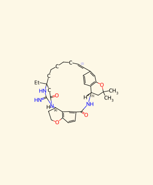 CCC12CCCCC/C=C\c3ccc4c(c3)OC(C)(C)C[C@@H]4NC(=O)c3ccc4c(c3)[C@@H](CCO4)N(C(=N)N1)C(=O)C2